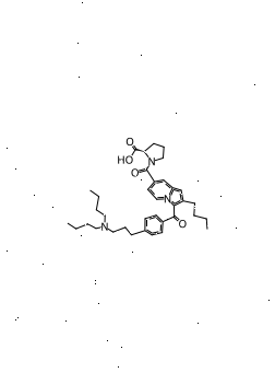 CCCCc1cc2cc(C(=O)N3CCC[C@@H]3C(=O)O)ccn2c1C(=O)c1ccc(CCCN(CCCC)CCCC)cc1